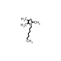 CCCCCCCn1c(C)nc(C)c1C